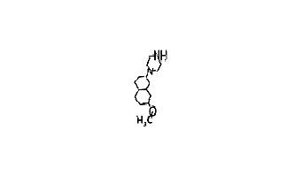 COC1CCC2CCC(N3CCNCC3)CC2C1